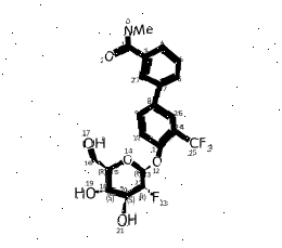 CNC(=O)c1cccc(-c2ccc(O[C@H]3O[C@H](CO)[C@@H](O)[C@H](O)[C@H]3F)c(C(F)(F)F)c2)c1